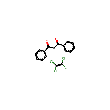 ClC(Cl)=C(Cl)Cl.O=C(CC(=O)c1ccccc1)c1ccccc1